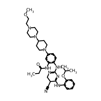 CCC(=O)Nc1cc(N2CCC(N3CCN(CCOC)CC3)CC2)ccc1NC1=NCC(C#N)C(Nc2ccccc2OC(C)C)=N1